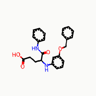 O=C(O)CCC(Nc1cccc(OCc2ccccc2)c1)C(=O)Nc1ccccc1